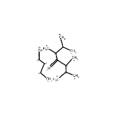 CC(C)C(C)C(=O)C(C)C(C)C.CCCCO